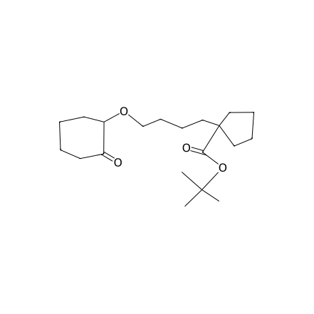 CC(C)(C)OC(=O)C1(CCCCOC2CCCCC2=O)CCCC1